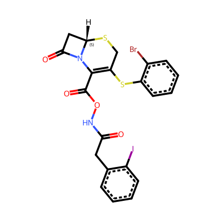 O=C(Cc1ccccc1I)NOC(=O)C1=C(Sc2ccccc2Br)CS[C@H]2CC(=O)N12